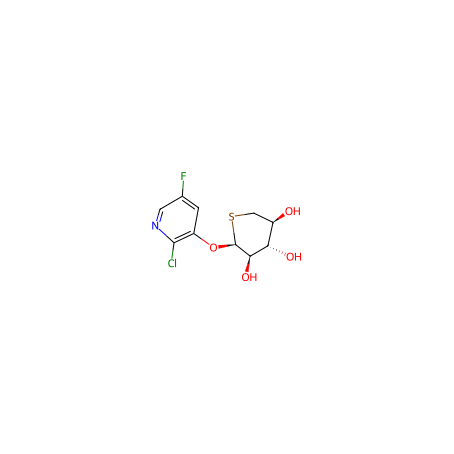 O[C@@H]1[C@@H](O)[C@@H](Oc2cc(F)cnc2Cl)SC[C@H]1O